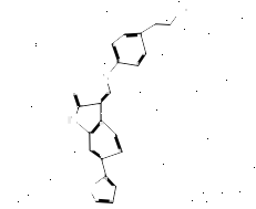 O=C1Nc2cc(-c3ccco3)ccc2C1=CNc1ccc(CCO)cc1